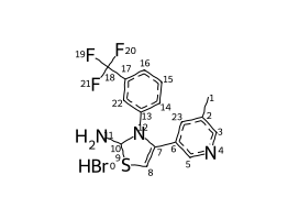 Br.Cc1cncc(C2=CSC(N)N2c2cccc(C(F)(F)F)c2)c1